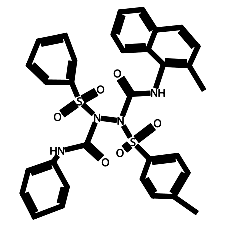 Cc1ccc(S(=O)(=O)N(C(=O)Nc2c(C)ccc3ccccc23)N(C(=O)Nc2ccccc2)S(=O)(=O)c2ccccc2)cc1